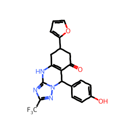 O=C1CC(c2ccco2)CC2=C1C(c1ccc(O)cc1)n1nc(C(F)(F)F)nc1N2